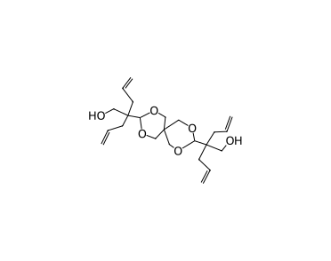 C=CCC(CO)(CC=C)C1OCC2(CO1)COC(C(CO)(CC=C)CC=C)OC2